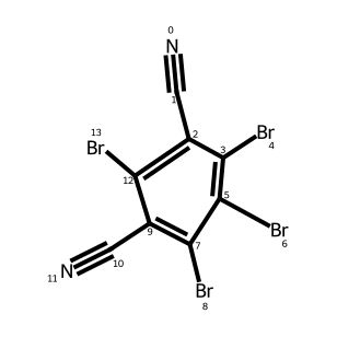 N#Cc1c(Br)c(Br)c(Br)c(C#N)c1Br